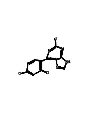 Clc1ccc(-c2nc(Cl)nc3[nH]cnc23)c(Cl)c1